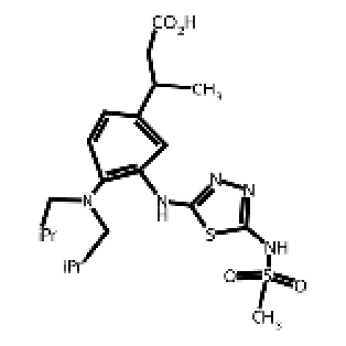 CC(C)CN(CC(C)C)c1ccc(C(C)CC(=O)O)cc1Nc1nnc(NS(C)(=O)=O)s1